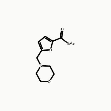 CNC(=O)c1ccc(CN2CCOCC2)o1